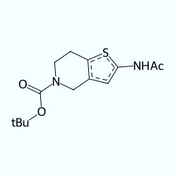 CC(=O)Nc1cc2c(s1)CCN(C(=O)OC(C)(C)C)C2